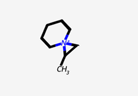 CC1[CH][N+]12CCCCC2